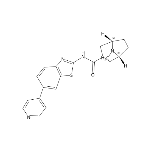 CN1[C@@H]2CC[C@H]1CC(C(=O)Nc1nc3ccc(-c4ccncc4)cc3s1)C2